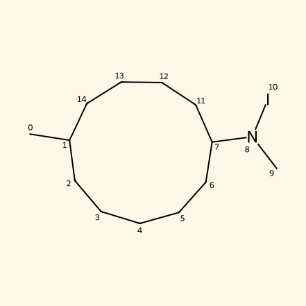 CC1CCCCCC(N(C)I)CCCC1